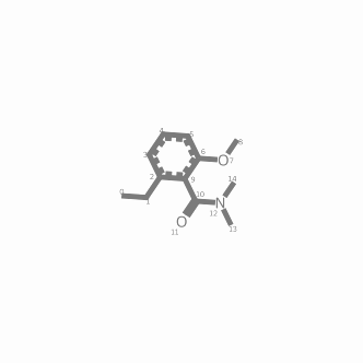 CCc1cccc(OC)c1C(=O)N(C)C